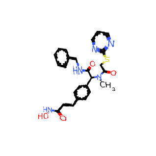 CN(C(=O)CSc1ncccn1)C(C(=O)NCc1ccccc1)c1ccc(C=CC(=O)NO)cc1